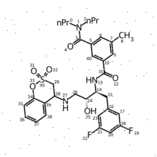 CCCN(CCC)C(=O)c1cc(C)cc(C(=O)N[C@@H](Cc2cc(F)cc(F)c2)[C@H](O)CNC2CS(=O)(=O)Oc3ccccc32)c1